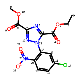 CCOC(=O)c1nc(C(=O)OC)nn1-c1cc(Cl)ccc1[N+](=O)[O-]